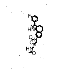 CC(=O)NC[C@H]1CN(c2ccc3c(c2)-c2[nH]nc(-c4cccc(F)c4)c2CCC3)C(=O)O1